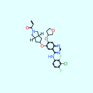 C=CC(=O)N1C[C@H]2CC(Oc3cc4c(Nc5ccc(F)c(Cl)c5F)ncnc4cc3OC3CCOC3)C[C@H]2C1